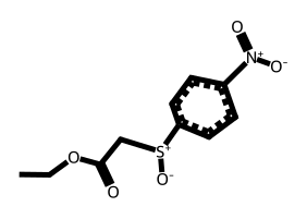 CCOC(=O)C[S+]([O-])c1ccc([N+](=O)[O-])cc1